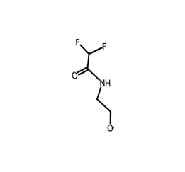 [O]CCNC(=O)C(F)F